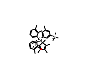 CC1=C(C)C(C)([Si](c2cc(C)cc([Si](C)(C)C)c2)(c2cccc(C)c2C)c2cccc(C)c2C)[C]([Ti]([CH3])([CH3])[CH3])=C1C